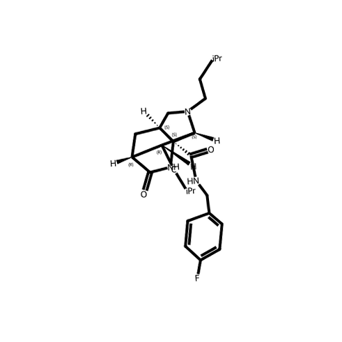 CC(C)CCN1C[C@@H]2C[C@H]3C(=O)N[C@]2(C(=O)NCc2ccc(F)cc2)[C@@H]1[C@@H]3CC(C)C